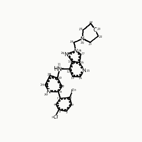 Fc1ccc(Cl)cc1-c1cc(Nc2ccnc3cn(CN4CCCCC4)nc23)ccn1